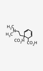 CN(C)CCC1(C(=O)O)C=CC=CC1C(=O)O